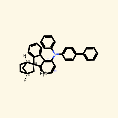 C=C1/C(=C(\C=C/C)N(c2ccccc2)c2ccc(-c3ccccc3)cc2)c2ccccc2[C@]12C[C@H]1CC[C@@H]2C1